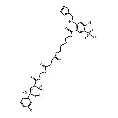 C[C@@H]1N(C(=O)OCOC(=O)CCC(=O)OCCCCOC(=O)c2cc(S(N)(=O)=O)c(Cl)cc2NCc2ccco2)C(C)(C)CO[C@@]1(O)c1cccc(Cl)c1